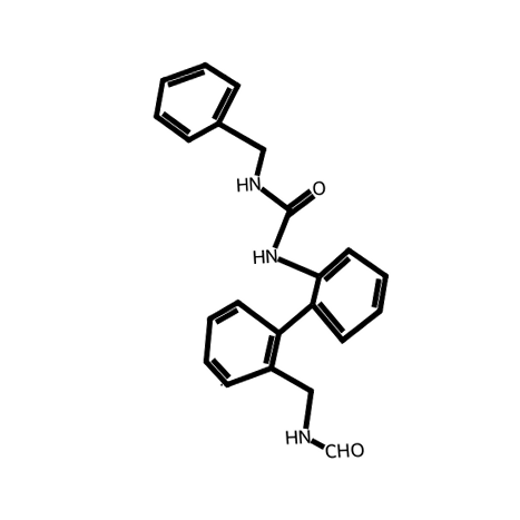 O=CNCc1[c]cccc1-c1ccccc1NC(=O)NCc1ccccc1